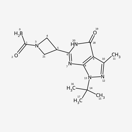 BC(=O)N1CC(c2nc3c(c(C)nn3C(C)(C)C)c(=O)[nH]2)C1